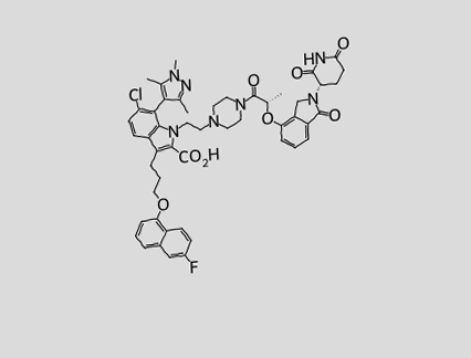 Cc1nn(C)c(C)c1-c1c(Cl)ccc2c(CCCOc3cccc4cc(F)ccc34)c(C(=O)O)n(CCN3CCN(C(=O)[C@H](C)Oc4cccc5c4CN([C@H]4CCC(=O)NC4=O)C5=O)CC3)c12